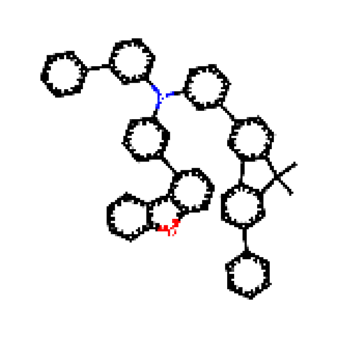 CC1(C)c2ccc(-c3cccc(N(c4cccc(-c5ccccc5)c4)c4cccc(-c5cccc6oc7ccccc7c56)c4)c3)cc2-c2ccc(-c3ccccc3)cc21